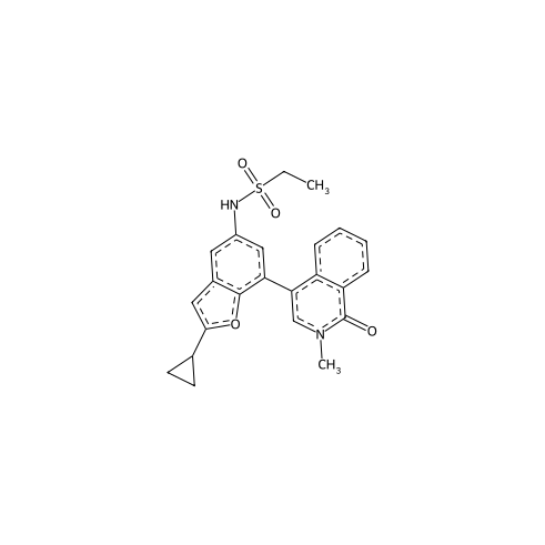 CCS(=O)(=O)Nc1cc(-c2cn(C)c(=O)c3ccccc23)c2oc(C3CC3)cc2c1